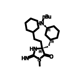 CCCCN[C@@H]1CCC[C@H](C[C@@]2(CCC3CCCCC3)NC(=N)N(C)C2=O)C1